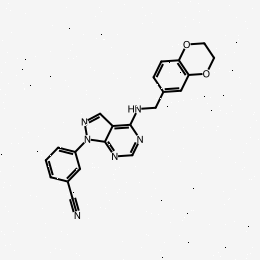 N#Cc1cccc(-n2ncc3c(NCc4ccc5c(c4)OCCO5)ncnc32)c1